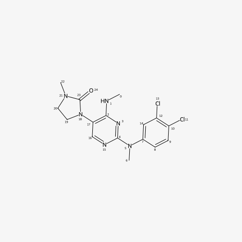 CNc1nc(N(C)c2ccc(Cl)c(Cl)c2)ncc1N1CCN(C)C1=O